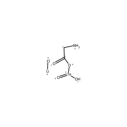 NCC(=O)O[Te](=O)O.[Li][Cl]